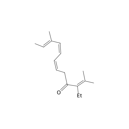 CC=C(C)/C=C\C=C/CC(=O)C(CC)=C(C)C